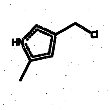 Cc1cc(CCl)c[nH]1